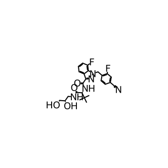 CC(C)(C)[C@H](NC(=O)c1nn(Cc2ccc(C#N)cc2F)c2c(F)cccc12)C(=O)NC[C@H](O)CO